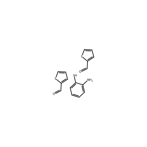 Nc1ccccc1S.O=Cc1cccs1.O=Cc1cccs1